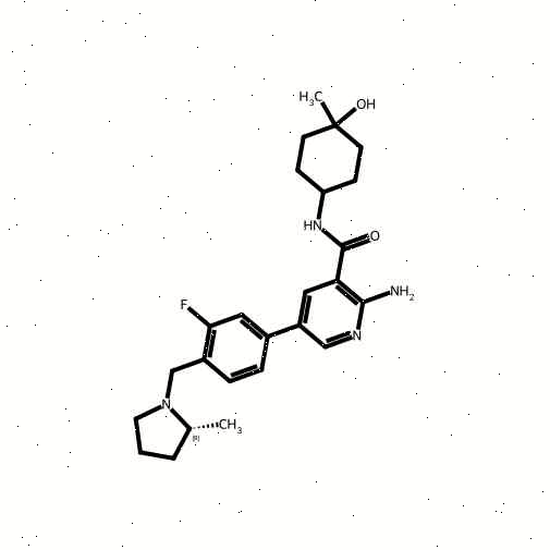 C[C@@H]1CCCN1Cc1ccc(-c2cnc(N)c(C(=O)NC3CCC(C)(O)CC3)c2)cc1F